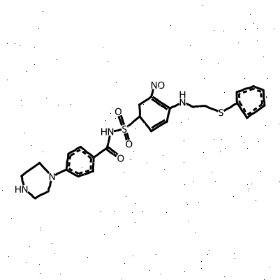 O=NC1=C(NCCSc2ccccc2)C=CC(S(=O)(=O)NC(=O)c2ccc(N3CCNCC3)cc2)C1